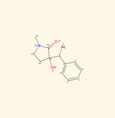 CC(=O)C(c1c[c]ccc1)C1(O)CCN(C)C1=O